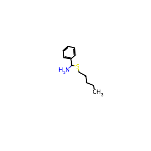 CCCCCSC(N)c1ccccc1